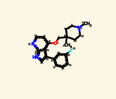 CN1CCC(C)(COc2ccnc3[nH]cc(-c4cccc(F)c4)c23)CC1